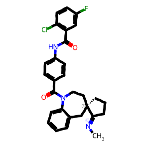 C/N=C1\CCC[C@]12CCN(C(=O)c1ccc(NC(=O)c3cc(F)ccc3Cl)cc1)c1ccccc1C2